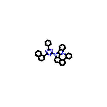 c1ccc(-c2nc(-c3cccc4ccccc34)nc(-n3c4ccc5cccc6c7ccccc7n7c8ccccc8c3c7c4c56)n2)cc1